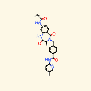 Cc1ccc(NC(=O)c2ccc(CN3C(=O)c4ccc(NC(=O)C(C)C)cc4NC(=O)C3C)cc2)nc1